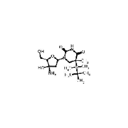 CC(C)(C)[Si](C)(C)C1(C)CN([C@H]2C[C@](N)(O)[C@@H](CO)O2)C(=O)NC1=O